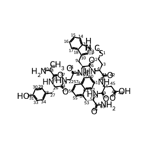 CSCC[C@H](NC(=O)[C@H](Cc1c[nH]c2ccccc12)NC(=O)CNC(=O)[C@H](Cc1ccc(O)cc1)NC(=O)[C@H](C)N)C(=O)N[C@@H](CC(=O)O)C(=O)N[C@@H](Cc1cccc2ccccc12)C(N)=O